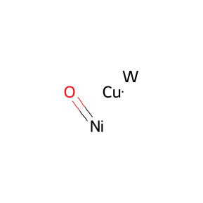 [Cu].[O]=[Ni].[W]